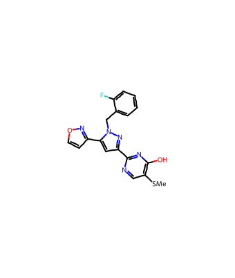 CSc1cnc(-c2cc(-c3ccon3)n(Cc3ccccc3F)n2)nc1O